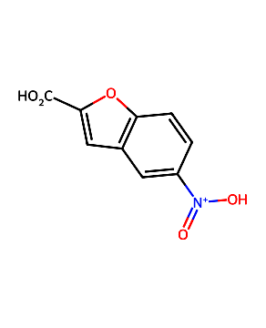 O=C(O)c1cc2cc([N+](=O)O)ccc2o1